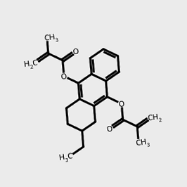 C=C(C)C(=O)Oc1c2c(c(OC(=O)C(=C)C)c3ccccc13)CC(CC)CC2